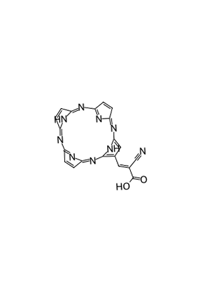 N#C/C(=C\c1cc2nc3nc(nc4ccc(nc5nc(nc1[nH]2)C=C5)[nH]4)C=C3)C(=O)O